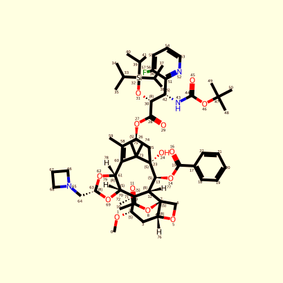 CO[C@H]1C[C@H]2OC[C@@]2(OC(C)=O)[C@H]2[C@H](OC(=O)c3ccccc3)[C@]3(O)C[C@H](OC(=O)[C@H](O[Si](C(C)C)(C(C)C)C(C)C)[C@@H](NC(=O)OC(C)(C)C)c4ncccc4F)C(C)=C([C@H]4O[C@@H](CN5CCC5)O[C@H]4[C@]12C)C3(C)C